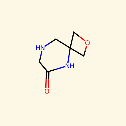 O=C1CNCC2(COC2)N1